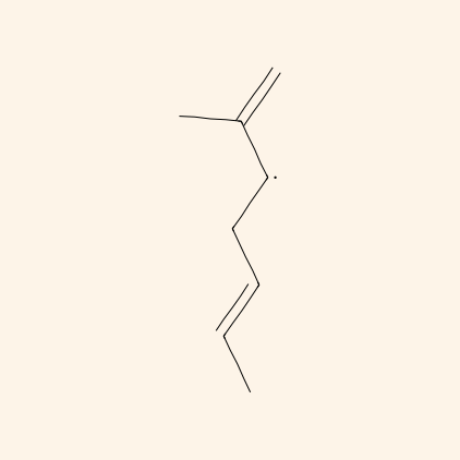 C=C(C)[CH]CC=CC